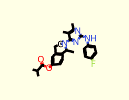 Cc1nc(Nc2ccc(F)cc2)nc(N2CCc3cc(OC(=O)C(C)C)ccc3C2C)c1C